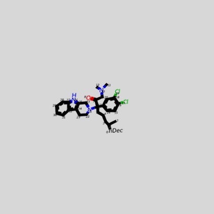 CCCCCCCCCCC(C)CCCC(C(=O)CN(C)C)(c1ccc(Cl)c(Cl)c1)N1CCc2c([nH]c3ccccc23)C1